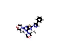 C[C@@H]1COCCN1c1nc(N2CCOC[C@@H]2C)nc2sc(-n3cc(-c4ccccc4)cn3)nc12